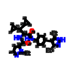 CCc1n[nH]c(CC)c1-c1ccc(NC(=O)[C@@H](NC(=O)c2ccnn2CC)C(C2CC2)C2CC2)cc1